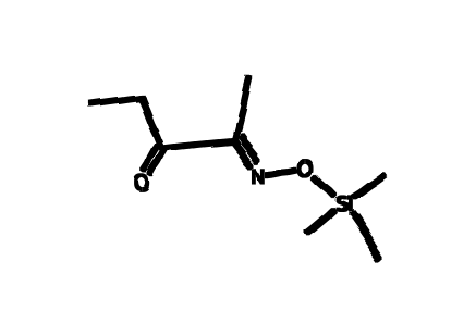 CCC(=O)/C(C)=N/O[Si](C)(C)C